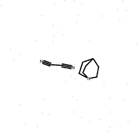 C1CN2CCC1CC2.N#CC#N